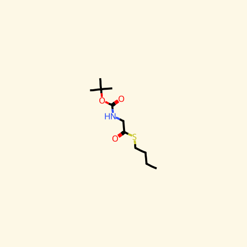 CCCCSC(=O)CNC(=O)OC(C)(C)C